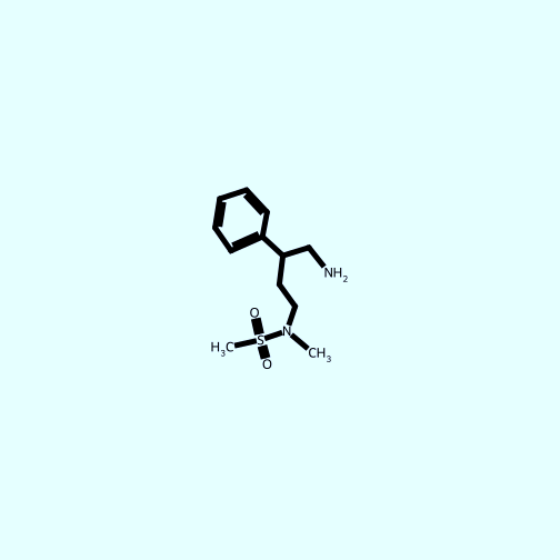 CN(CCC(CN)c1ccccc1)S(C)(=O)=O